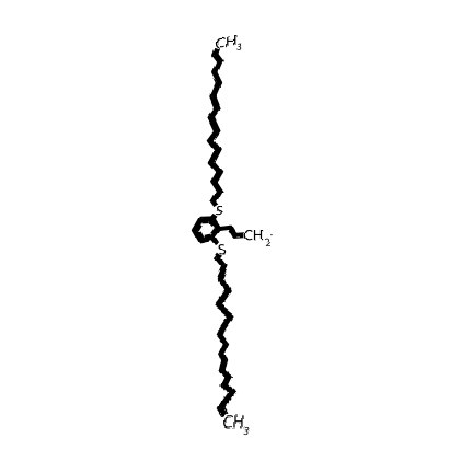 [CH2]CCc1c(SCCCCCCCCCCCCCCCC)cccc1SCCCCCCCCCCCCCCCC